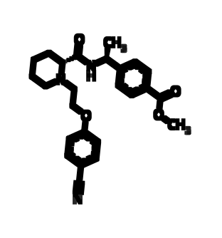 COC(=O)c1ccc([C@H](C)NC(=O)[C@H]2CCCCN2CCOc2ccc(C#N)cc2)cc1